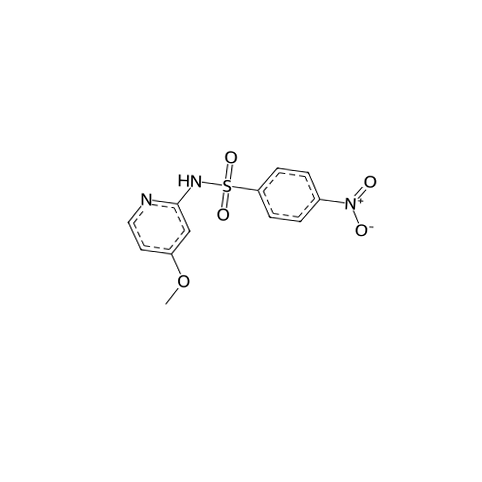 COc1ccnc(NS(=O)(=O)c2ccc([N+](=O)[O-])cc2)c1